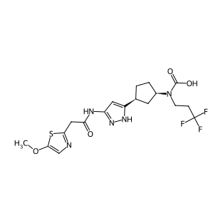 COc1cnc(CC(=O)Nc2cc([C@H]3CC[C@@H](N(CCC(F)(F)F)C(=O)O)C3)[nH]n2)s1